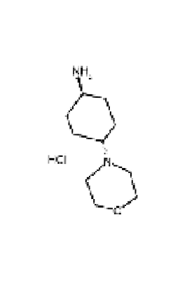 Cl.N[C@H]1CC[C@H](N2CCOCC2)CC1